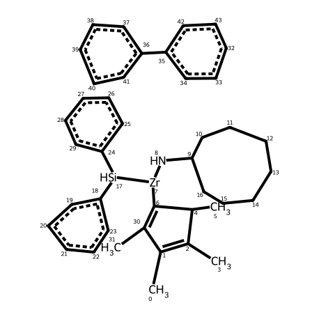 CC1=C(C)C(C)[C]([Zr]([NH]C2CCCCCCC2)[SiH](c2ccccc2)c2ccccc2)=C1C.c1ccc(-c2ccccc2)cc1